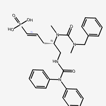 CN(Cc1ccccc1)C(=O)N(C)[C@@H](C/C=C/P(=O)(O)O)CNC(=O)N(c1ccccc1)c1ccccc1